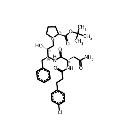 CC(C)(C)OC(=O)[C@@H]1CCCN1C[C@@H](O)[C@H](Cc1ccccc1)NC(=O)[C@H](CC(N)=O)NC(=O)CCc1ccc(Cl)cc1